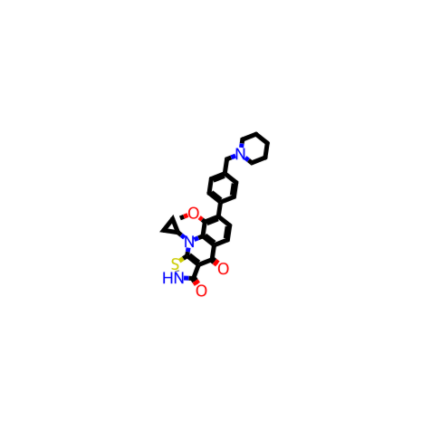 COc1c(-c2ccc(CN3CCCCC3)cc2)ccc2c(=O)c3c(=O)[nH]sc3n(C3CC3)c12